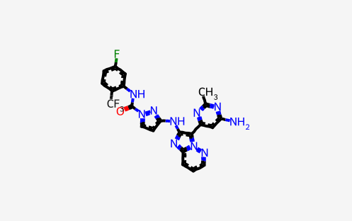 Cc1nc(N)cc(-c2c(Nc3ccn(C(=O)Nc4cc(F)ccc4C(F)(F)F)n3)nc3cccnn23)n1